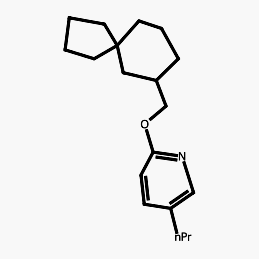 CCCc1ccc(OCC2CCCC3(CCCC3)C2)nc1